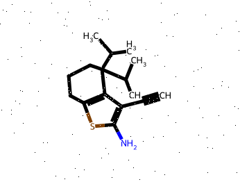 C#Cc1c(N)sc2c1C(C(C)C)(C(C)C)CCC2